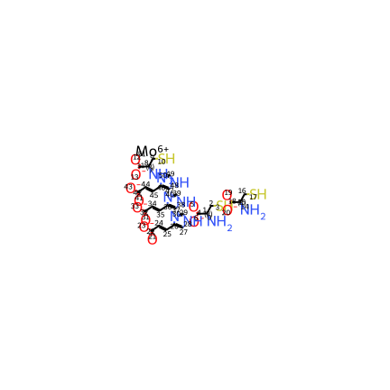 N[C@@H](CS)C(=O)[O-].N[C@@H](CS)C(=O)[O-].N[C@@H](CS)C(=O)[O-].O=C([O-])C=Cc1c[nH]cn1.O=C([O-])C=Cc1c[nH]cn1.O=C([O-])C=Cc1c[nH]cn1.[Mo+6]